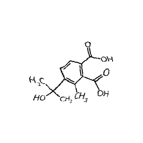 Cc1c(C(C)(C)O)ccc(C(=O)O)c1C(=O)O